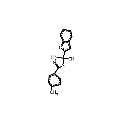 Cc1ccc(C2=NNC(C)(c3cc4ccccc4o3)S2)cc1